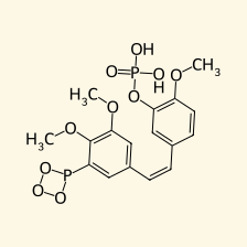 COc1ccc(/C=C\c2cc(OC)c(OC)c(P3OOO3)c2)cc1OP(=O)(O)O